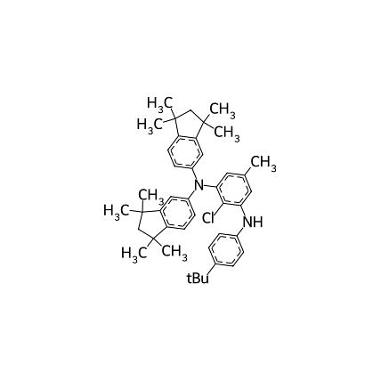 Cc1cc(Nc2ccc(C(C)(C)C)cc2)c(Cl)c(N(c2ccc3c(c2)C(C)(C)CC3(C)C)c2ccc3c(c2)C(C)(C)CC3(C)C)c1